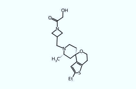 CCc1cc2c(s1)CCO[C@@]21CCN(CC2CN(C(=O)CO)C2)[C@@H](C)C1